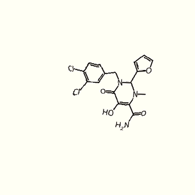 CN1C(C(N)=O)=C(O)C(=O)N(Cc2ccc(Cl)c(Cl)c2)C1c1ccco1